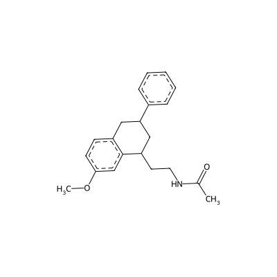 COc1ccc2c(c1)C(CCNC(C)=O)CC(c1ccccc1)C2